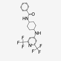 O=C(NC1CCC(Nc2cc(C(F)(F)F)nc(C(F)(F)F)c2)CC1)c1ccccc1